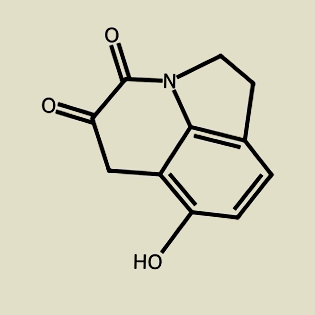 O=C1Cc2c(O)ccc3c2N(CC3)C1=O